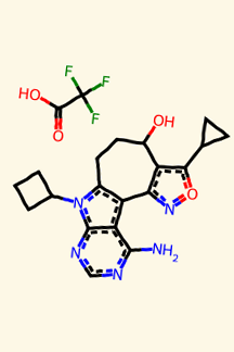 Nc1ncnc2c1c1c(n2C2CCC2)CCC(O)c2c-1noc2C1CC1.O=C(O)C(F)(F)F